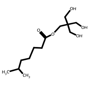 CC(C)CCCCC(=O)OCC(CO)(CO)CO